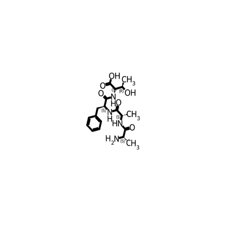 C[C@H](N)C(=O)N[C@@H](C)C(=O)N[C@@H](Cc1ccccc1)C(=O)N[C@H](C(=O)O)[C@@H](C)O